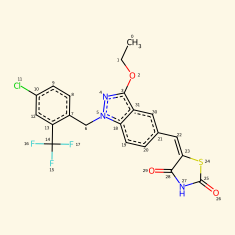 CCOc1nn(Cc2ccc(Cl)cc2C(F)(F)F)c2ccc(C=C3SC(=O)NC3=O)cc12